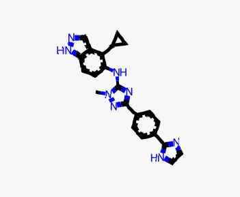 Cn1nc(-c2ccc(-c3ncc[nH]3)cc2)nc1Nc1ccc2[nH]ncc2c1C1CC1